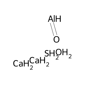 O.S.[CaH2].[CaH2].[O]=[AlH]